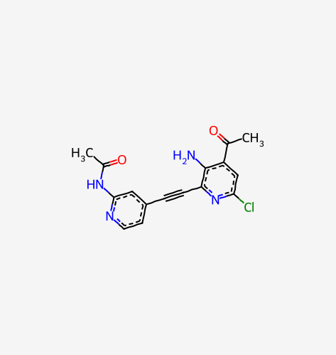 CC(=O)Nc1cc(C#Cc2nc(Cl)cc(C(C)=O)c2N)ccn1